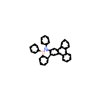 c1ccc(B2c3ccccc3-c3cc4c5ccccc5c5ccccc5c4cc3N2c2ccccc2)cc1